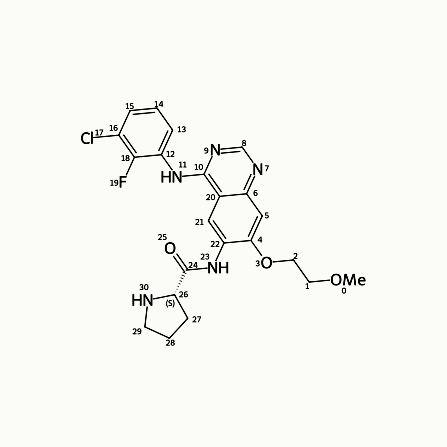 COCCOc1cc2ncnc(Nc3cccc(Cl)c3F)c2cc1NC(=O)[C@@H]1CCCN1